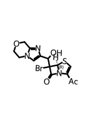 CC(=O)C1=CS[C@H]2N1C(=O)C2(Br)C(O)c1cn2c(n1)COCC2